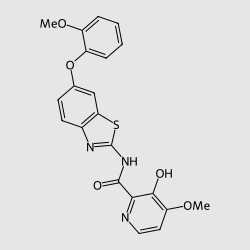 COc1ccccc1Oc1ccc2nc(NC(=O)c3nccc(OC)c3O)sc2c1